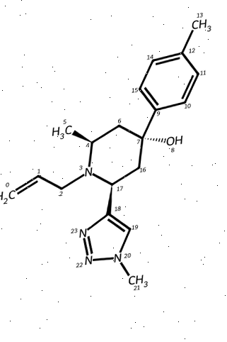 C=CCN1[C@@H](C)C[C@@](O)(c2ccc(C)cc2)C[C@H]1c1cn(C)nn1